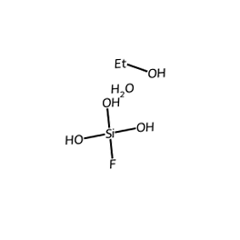 CCO.O.O[Si](O)(O)F